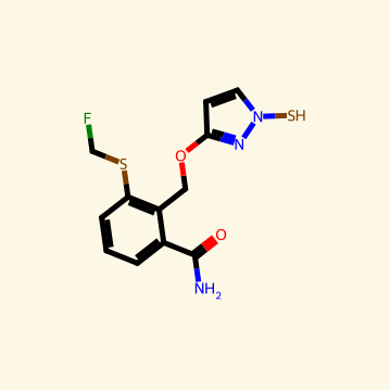 NC(=O)c1cccc(SCF)c1COc1ccn(S)n1